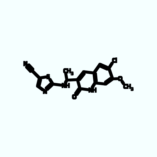 COc1cc2[nH]c(=O)c(C(C)Nc3ncc(C#N)s3)cc2cc1Cl